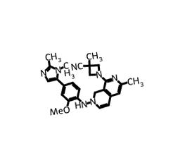 COc1cc(-c2cnc(C)n2C)ccc1NN1C=Cc2cc(C)nc(N3CC(C)(C#N)C3)c2C1